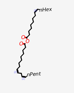 CCCCC/C=C\C/C=C\CCCCCCCC(=O)OC(=O)CCCCCCC/C=C\CCCCCC